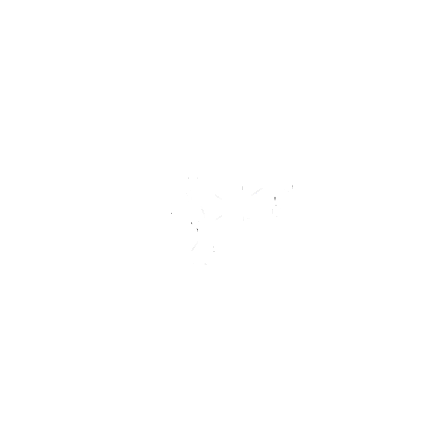 CCCCC1(CC)CN(c2ccccc2)c2cc(Br)c(O/C=C/C(=O)OCC)cc2[S+]([O-])C1